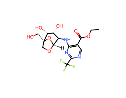 CCOC(=O)c1cnc(C(F)(F)F)nc1N[C@H]1[C@H]2OC[C@](CO)(O2)[C@H](O)[C@@H]1O